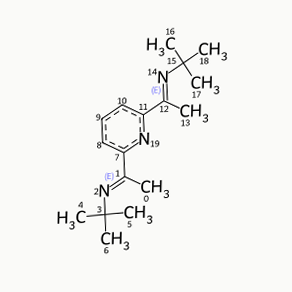 C/C(=N\C(C)(C)C)c1cccc(/C(C)=N/C(C)(C)C)n1